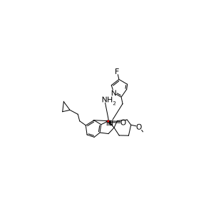 COC1CCC2(CC1)Cc1ccc(CCC3CC3)cc1C21N=C(N)N(Cc2ccc(F)cn2)C1=O